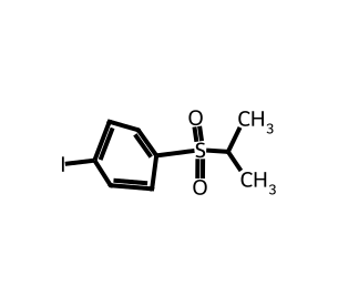 CC(C)S(=O)(=O)c1ccc(I)cc1